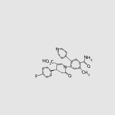 Cc1cc(N2C=C(C(=O)O)[C@H](c3ccc(F)cc3)CC2=O)c(-c2ccncc2)cc1C(N)=O